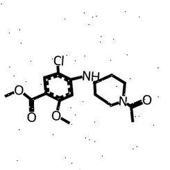 COC(=O)c1cc(Cl)c(NC2CCN(C(C)=O)CC2)cc1OC